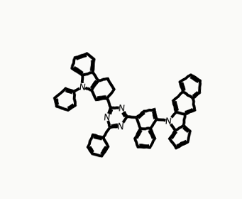 C1=C(c2nc(-c3ccccc3)nc(-c3ccc(-n4c5ccccc5c5cc6ccccc6cc54)c4ccccc34)n2)CCc2c1n(-c1ccccc1)c1ccccc21